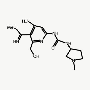 COC(=N)c1c(N)cc(NC(=O)N[C@H]2CCN(C)C2)nc1CO